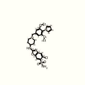 CCOc1cc(CN2CCC(Nc3nc4cc(Cl)c(S(N)(=O)=O)cc4o3)CC2)cc(OCC)c1-n1cccc1